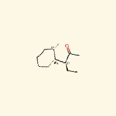 CC[C@H](C(C)=O)[C@@H]1CCCC[C@@H]1C